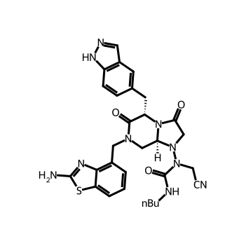 CCCCNC(=O)N(CC#N)N1CC(=O)N2[C@@H](Cc3ccc4[nH]ncc4c3)C(=O)N(Cc3cccc4sc(N)nc34)C[C@@H]21